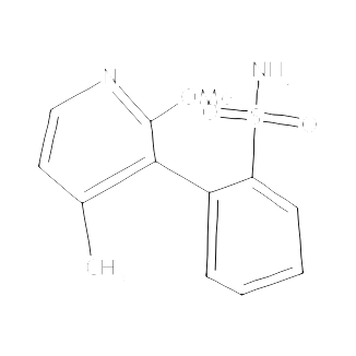 COc1nccc(C)c1-c1ccccc1S(N)(=O)=O